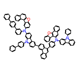 c1ccc(-c2ccc(-c3cccc(N(c4ccc5oc6ccc7ccccc7c6c5c4)c4ccc5c6cc(-c7ccc8c(-c9ccc(N(c%10ccc%11c%12ccccc%12n(-c%12ccccc%12)c%11c%10)c%10cc%11ccccc%11c%11oc%12ccccc%12c%10%11)cc9)cc9ccccc9c8c7)ccc6n(-c6ccc(-c7ccccc7)cc6)c5c4)c3)cc2)cc1